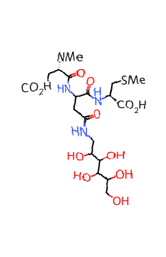 CN[C@@H](CC(=O)O)C(=O)NC(CC(=O)NCC(O)C(O)C(O)C(O)CO)C(=O)N[C@@H](CSC)C(=O)O